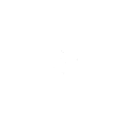 CNC(=S)C(CN1CCCCC1)(OC)c1ccc2ccccc2n1